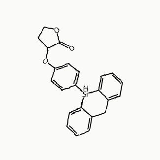 O=C1OCCC1Oc1ccc([SiH]2c3ccccc3Cc3ccccc32)cc1